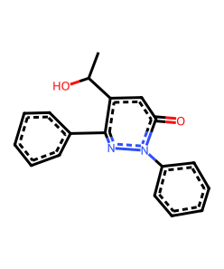 CC(O)c1cc(=O)n(-c2ccccc2)nc1-c1ccccc1